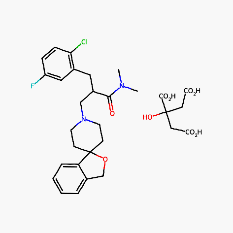 CN(C)C(=O)C(Cc1cc(F)ccc1Cl)CN1CCC2(CC1)OCc1ccccc12.O=C(O)CC(O)(CC(=O)O)C(=O)O